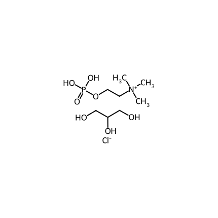 C[N+](C)(C)CCOP(=O)(O)O.OCC(O)CO.[Cl-]